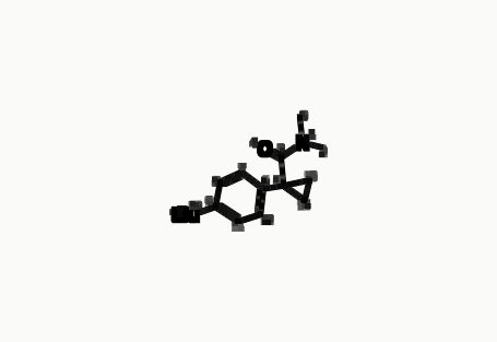 CN(C)C(=O)C1(c2ccc(C(C)(C)C)cc2)CC1